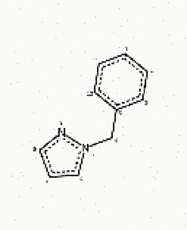 [c]1ccc(Cn2cccn2)cc1